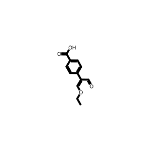 CCOC=C(C=O)c1ccc(C(=O)O)cc1